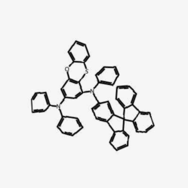 c1ccc(N(c2ccccc2)c2cc3c(c(N(c4ccccc4)c4ccc5c(c4)C4(c6ccccc6-c6ccccc64)c4ccccc4-5)c2)Sc2ccccc2O3)cc1